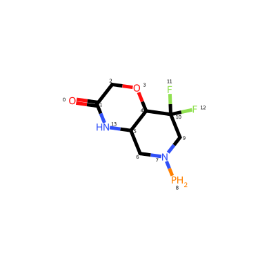 O=C1COC2C(CN(P)CC2(F)F)N1